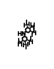 IC(I)(I)c1cc(Nc2cc(C(I)(I)I)c(C(I)(I)I)c(C(I)(I)I)c2)cc(C(I)(I)I)c1C(I)(I)I